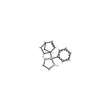 C1=CC2([Si]3(c4ccccc4)OCCO3)CCC1C2